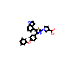 O=C(O)C1CCN(c2nc(-c3ccc(Oc4ccccc4)cc3)c(-c3cccc4[nH]ccc34)s2)C1